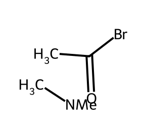 CC(=O)Br.CNC